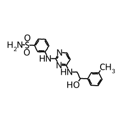 Cc1cccc(C(O)CNc2ccnc(Nc3cccc(S(N)(=O)=O)c3)n2)c1